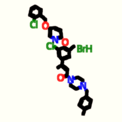 Br.C/C(=C\C(=O)N1CCN(Cc2ccc(C)cc2)CC1)c1cc(C)c(Oc2ccc(OCc3ccccc3Cl)cn2)c(Cl)c1